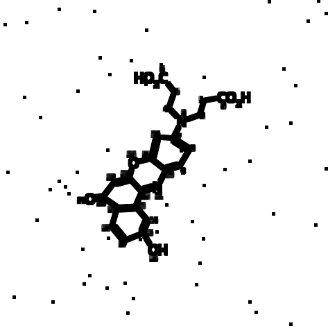 O=C(O)CCN(CCC(=O)O)c1ccc2nc3c4cc(O)ccc4c(=O)cc-3oc2c1